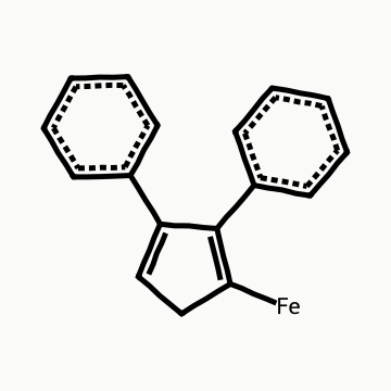 [Fe][C]1=C(c2ccccc2)C(c2ccccc2)=CC1